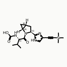 CC(C)[C@H](NC(=O)O)C(=O)N1[C@@H]2C[C@@H]2C[C@H]1c1nc(C#C[Si](C)(C)C)c[nH]1